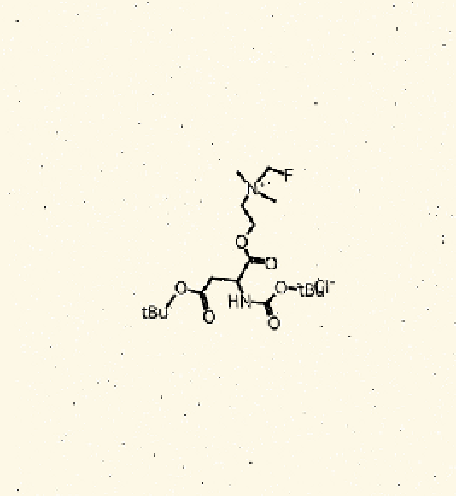 CC(C)(C)OC(=O)CC(NC(=O)OC(C)(C)C)C(=O)OCC[N+](C)(C)CF.[Cl-]